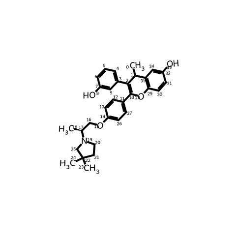 CC1C(c2cccc(O)c2)=C(c2ccc(OC[C@H](C)N3CCC(C)(C)C3)cc2)Oc2ccc(O)cc21